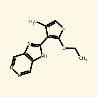 CCOc1scc(C)c1-c1nc2cnncc2[nH]1